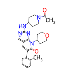 CC(=O)N1CCC(Nc2ncc3cc(-c4ccccc4C)c(=O)n(C4CCOCC4)c3n2)CC1